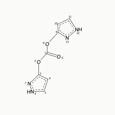 O=C(Oc1cc[nH]n1)Oc1cc[nH]n1